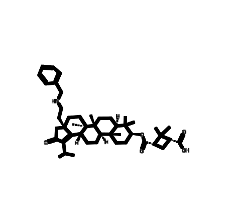 CC(C)C1=C2[C@H]3CC[C@@H]4[C@@]5(C)CC[C@H](OC(=O)[C@H]6C[C@@H](C(=O)O)C6(C)C)C(C)(C)[C@@H]5CC[C@@]4(C)[C@]3(C)CC[C@@]2(CCNCc2ccccc2)CC1=O